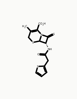 CC1=C(C(=O)O)N2C(=S)[C@H](NC(=O)Cc3cccs3)C2SC1